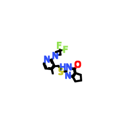 Cc1ccnc(N2CC(F)(F)C2)c1CSc1nc2c(c(=O)[nH]1)CCC2